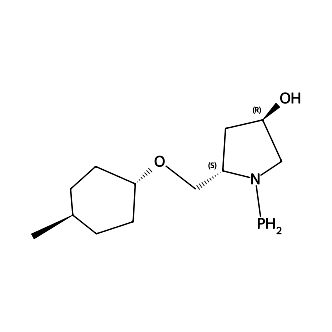 C[C@H]1CC[C@H](OC[C@@H]2C[C@@H](O)CN2P)CC1